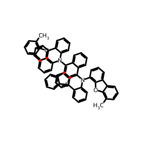 Cc1cccc2c1oc1c(N(c3ccccc3-c3ccccc3)c3c4ccccc4c(N(c4ccccc4-c4ccccc4)c4cccc5c4oc4c(C)cccc45)c4c3oc3ccccc34)cccc12